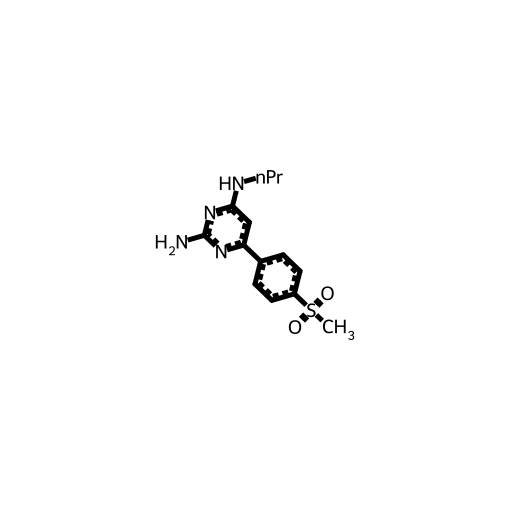 CCCNc1cc(-c2ccc(S(C)(=O)=O)cc2)nc(N)n1